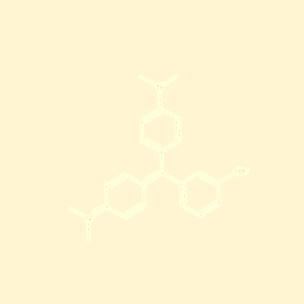 CN(C)c1ccc(C(=C2C=CC(=[N+](C)C)C=C2)c2cccc(C(C)(C)C)c2)cc1